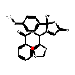 COc1ccc(C2(O)OC(=O)C=C2C(OC(=O)c2ccccc2)C2=COCO2)cc1